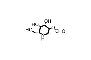 O=CO[C@H]1CN[C@H](CO)[C@@H](O)[C@@H]1O